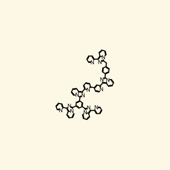 c1ccc(-c2nc(Cc3ccc(-c4nc(-c5cc(-c6cccc(-c7nc(-c8cc(-c9nc(-c%10ccccn%10)c%10ccccn9%10)cc(-c9nc(-c%10ccccn%10)c%10ccccn9%10)c8)n8ccccc78)n6)ccn5)c5ccccn45)cc3)n3ccccc23)nc1